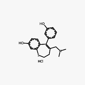 CN(C)CC1=C(c2cccc(O)c2)c2ccc(O)cc2SCC1.Cl